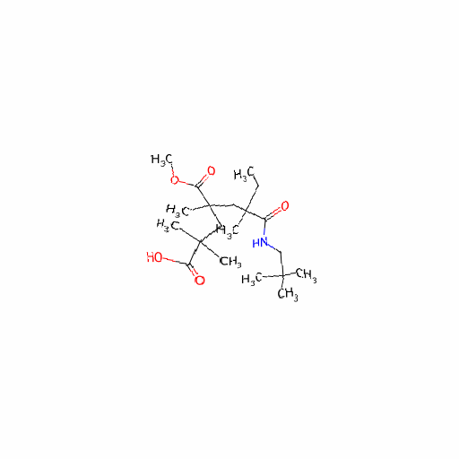 CCC(C)(CC(C)(CC(C)(C)C(=O)O)C(=O)OC)C(=O)NCC(C)(C)C